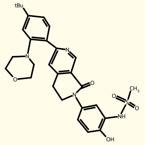 CC(C)(C)c1ccc(-c2cc3c(cn2)C(=O)N(c2ccc(O)c(NS(C)(=O)=O)c2)CC3)c(N2CCOCC2)c1